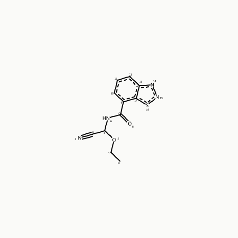 CCOC(C#N)NC(=O)c1cccc2nnsc12